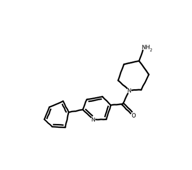 NC1CCN(C(=O)c2ccc(-c3ccccc3)nc2)CC1